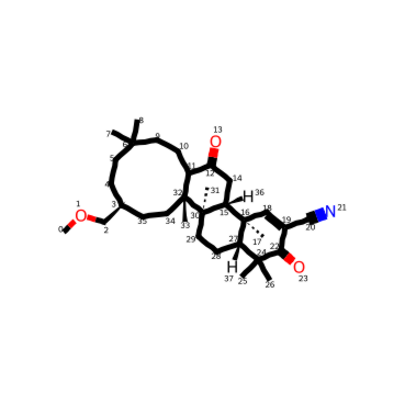 COC[C@H]1CCC(C)(C)CCC2C(=O)C[C@@H]3[C@@]4(C)C=C(C#N)C(=O)C(C)(C)[C@@H]4CC[C@@]3(C)[C@]2(C)CC1